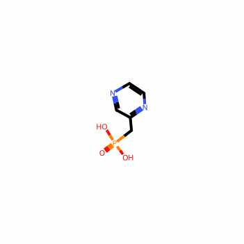 O=P(O)(O)Cc1cnccn1